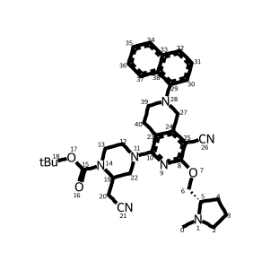 CN1CCC[C@H]1COc1nc(N2CCN(C(=O)OC(C)(C)C)C(CC#N)C2)c2c(c1C#N)CN(c1cccc3ccccc13)CC2